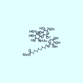 COC(=O)CCCCCCCCO[C@@H]1O[C@H](CO[C@H]2O[C@H](CO)[C@@H](O)[C@H](O)[C@@H]2O[C@@H]2O[C@H](CO)[C@@H](O)[C@H](O)[C@H]2NC(C)=O)[C@@H](O)[C@H](O)[C@@H]1O